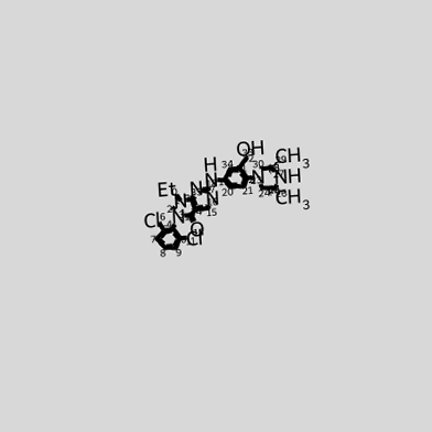 CCN1CN(c2c(Cl)cccc2Cl)C(=O)c2cnc(Nc3ccc(N4C[C@@H](C)N[C@@H](C)C4)c(CO)c3)nc21